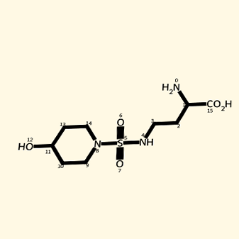 NC(CCNS(=O)(=O)N1CCC(O)CC1)C(=O)O